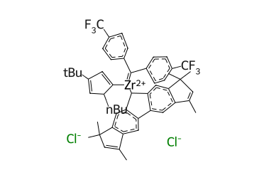 CCCCC1C=C(C(C)(C)C)C=[C]1[Zr+2](=[C](c1ccc(C(F)(F)F)cc1)c1ccc(C(F)(F)F)cc1)[CH]1c2cc3c(cc2-c2cc4c(cc21)C(C)(C)C=C4C)C(C)=CC3(C)C.[Cl-].[Cl-]